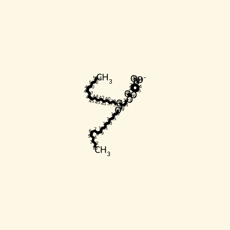 CCCCC/C=C\C/C=C\CCCCCCCCOC[C@H](CCOC(=O)Oc1ccc([N+](=O)[O-])cc1)OCCCCCCCC/C=C\C/C=C\CCCCC